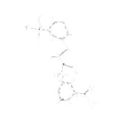 C/C(=C\c1cccc(C(F)(F)F)c1)C(=O)Nc1cccc(C(=O)O)c1